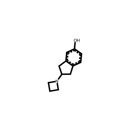 Oc1ccc2c(c1)CC(N1CCC1)C2